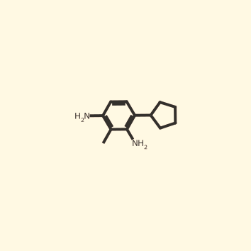 Cc1c(N)ccc(C2CCCC2)c1N